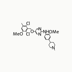 COc1cc(C2CCN(C)CC2)ccc1Nc1ncc(OCc2c(Cl)c(C)cc(OC)c2Cl)cn1